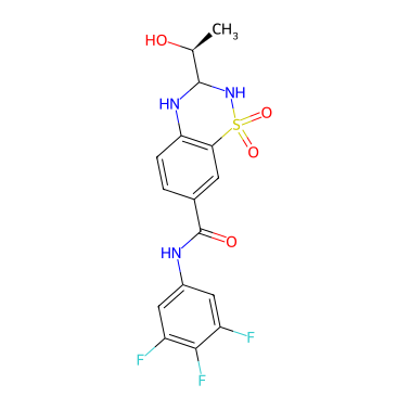 C[C@H](O)C1Nc2ccc(C(=O)Nc3cc(F)c(F)c(F)c3)cc2S(=O)(=O)N1